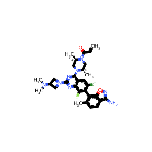 C=CC(=O)N1C[C@H](C)N(c2nc(N3CC(N(C)C)C3)nc3c(F)c(-c4c(C)ccc5c(N)noc45)c(Cl)cc23)C[C@H]1C